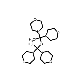 CC(OC(C)(N1CCOCC1)N1CCOCC1)(N1CCOCC1)N1CCOCC1